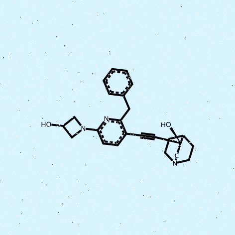 OC1CN(c2ccc(C#C[C@@]3(O)CN4CCC3CC4)c(Cc3ccccc3)n2)C1